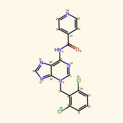 O=C(Nc1ncn(Cc2c(Cl)cccc2Cl)c2ncnc1-2)c1ccncc1